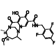 CO[C@@H]1CC(C)N2CN(C(=O)c3c(O)c(=O)c(C(=O)NCc4c(F)cc(F)cc4F)cn32)[C@H]1C